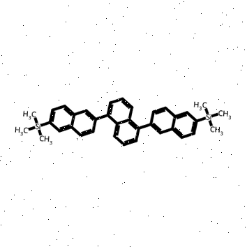 C[Si](C)(C)c1ccc2cc(-c3cccc4c(-c5ccc6cc([Si](C)(C)C)ccc6c5)cccc34)ccc2c1